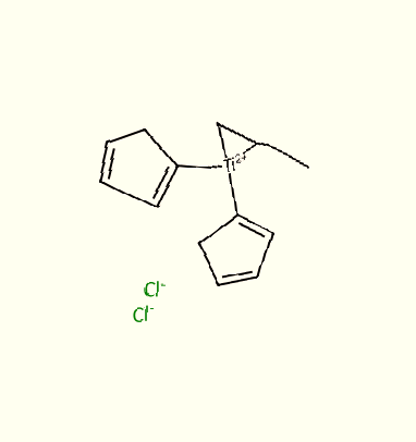 C[CH]1[CH2][Ti+2]1([C]1=CC=CC1)[C]1=CC=CC1.[Cl-].[Cl-]